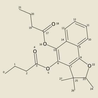 CCCC(=O)Oc1c2c(c3ccccc3c1OC(=O)CCC)OC(C)C2(C)C